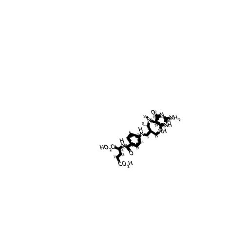 C[C@H]1C(CNc2ccc(C(=O)NC(CCC(=O)O)C(=O)O)cc2)CNc2[nH]c(N)nc(=O)c2N1C